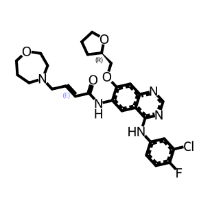 O=C(/C=C/CN1CCCOCC1)Nc1cc2c(Nc3ccc(F)c(Cl)c3)ncnc2cc1OC[C@H]1CCCO1